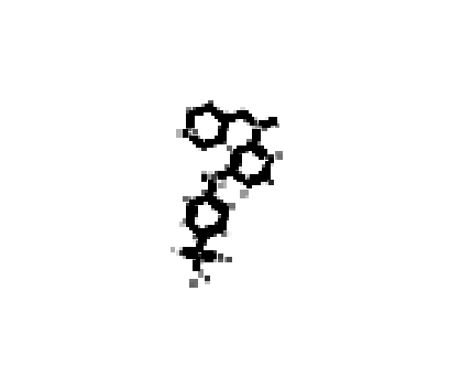 CN(CC1CCNCC1)c1cc(Nc2ccc(S(=O)(=O)C(F)(F)F)cc2)ncn1